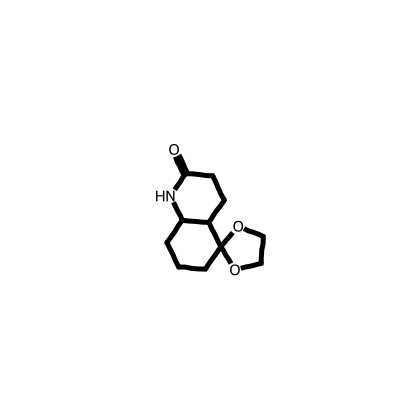 O=C1CCC2C(CCCC23OCCO3)N1